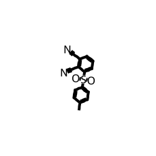 Cc1ccc(S(=O)(=O)c2cccc(C#N)c2C#N)cc1